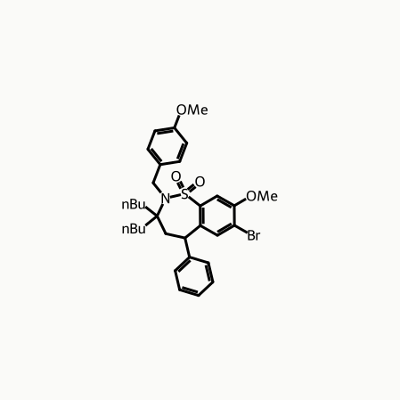 CCCCC1(CCCC)CC(c2ccccc2)c2cc(Br)c(OC)cc2S(=O)(=O)N1Cc1ccc(OC)cc1